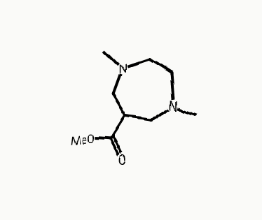 COC(=O)C1CN(C)CCN(C)C1